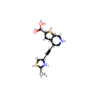 Cc1nc(C#Cc2cncc3sc(C(=O)O)cc23)cs1